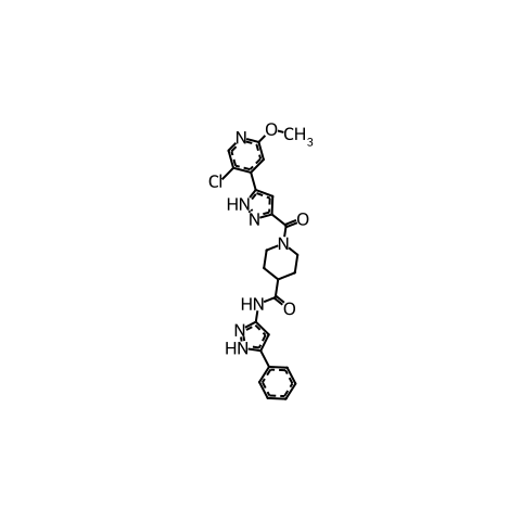 COc1cc(-c2cc(C(=O)N3CCC(C(=O)Nc4cc(-c5ccccc5)[nH]n4)CC3)n[nH]2)c(Cl)cn1